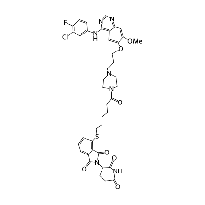 COc1cc2ncnc(Nc3ccc(F)c(Cl)c3)c2cc1OCCCN1CCN(C(=O)CCCCCSc2cccc3c2C(=O)N(C2CCC(=O)NC2=O)C3=O)CC1